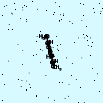 CC(=O)CCCOOC(=O)NCCCCCCNC(=O)OCCCC(=O)OCCOCCOC(=O)CCCOOC(=O)NCCCCCCNC(C)=O